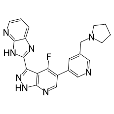 Fc1c(-c2cncc(CN3CCCC3)c2)cnc2[nH]nc(-c3nc4cccnc4[nH]3)c12